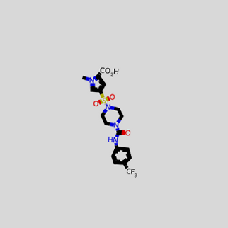 Cn1cc(S(=O)(=O)N2CCN(C(=O)Nc3ccc(C(F)(F)F)cc3)CC2)cc1C(=O)O